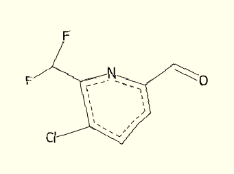 O=Cc1ccc(Cl)c(C(F)F)n1